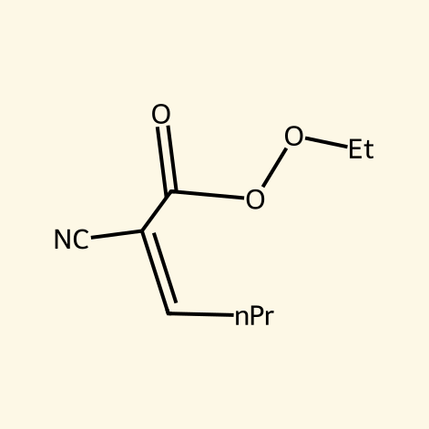 CCCC=C(C#N)C(=O)OOCC